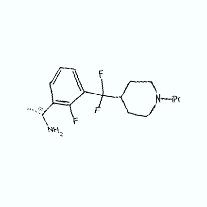 CC(C)N1CCC(C(F)(F)c2cccc([C@@H](C)N)c2F)CC1